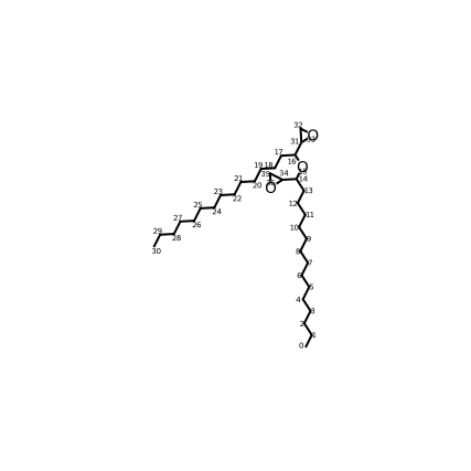 CCCCCCCCCCCCCCC(OC(CCCCCCCCCCCCCC)C1CO1)C1CO1